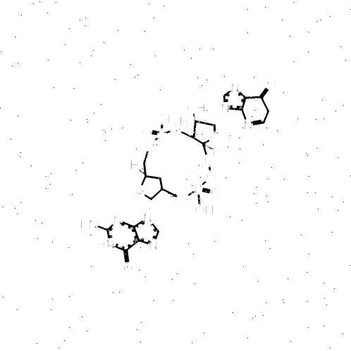 Nc1nc2c(ncn2[C@@H]2O[C@@H]3COP(=O)(O)O[C@H]4[C@@H](O)[C@H](n5cnc6c5N=CCC6=O)O[C@@H]4COP(=O)(O)O[C@@H]2C3)c(=O)[nH]1